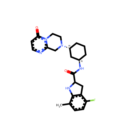 Cc1ccc(F)c2c1NC(C(=O)N[C@@H]1CCC[C@@H](N3CCn4c(nccc4=O)C3)C1)C2